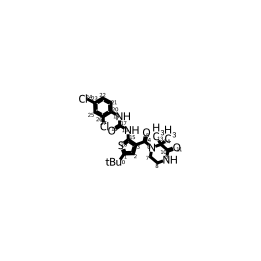 CC(C)(C)c1cc(C(=O)N2CCNC(=O)C2(C)C)c(NC(=O)Nc2ccc(Cl)cc2Cl)s1